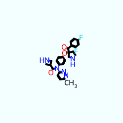 Cc1ccc(N(C(=O)C2CNC2)c2ccc(O[C@]3(C(=O)c4ccc(F)cc4F)CCNC3)cc2)nn1